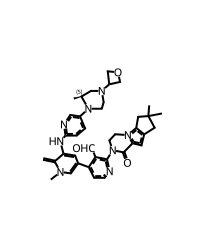 C=C1C(Nc2ccc(N3CCN(C4COC4)C[C@@H]3C)cn2)=CC(c2ccnc(N3CCn4c(cc5c4CC(C)(C)C5)C3=O)c2C=O)=CN1C